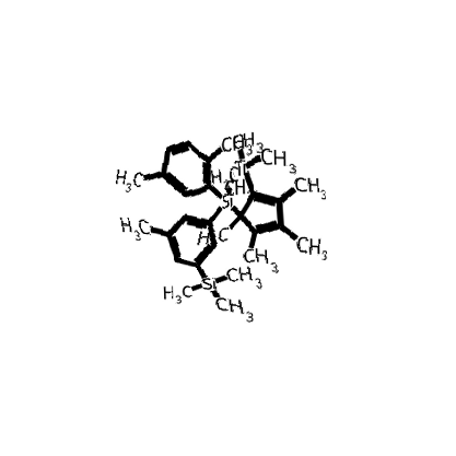 CC1=C(C)C(C)([Si](C)(c2cc(C)cc([Si](C)(C)C)c2)c2cc(C)ccc2C)[C]([Ti]([CH3])([CH3])[CH3])=C1C